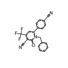 N#Cc1ccc(-c2cc(C(F)(F)F)c(C#N)c(=O)n2Cc2ccccc2)cc1